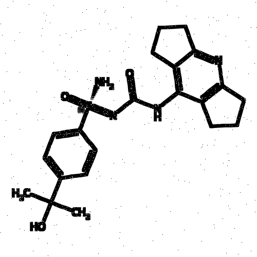 CC(C)(O)c1ccc([S@@](N)(=O)=NC(=O)Nc2c3c(nc4c2CCC4)CCC3)cc1